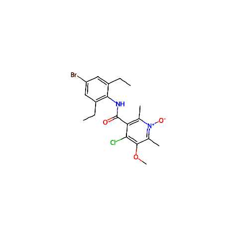 CCc1cc(Br)cc(CC)c1NC(=O)c1c(Cl)c(OC)c(C)[n+]([O-])c1C